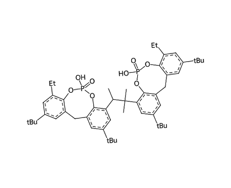 CCc1cc(C(C)(C)C)cc2c1OP(=O)(O)Oc1c(cc(C(C)(C)C)cc1C(C)C(C)(C)c1cc(C(C)(C)C)cc3c1OP(=O)(O)Oc1c(CC)cc(C(C)(C)C)cc1C3)C2